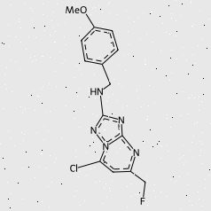 COc1ccc(CNc2nc3nc(CF)cc(Cl)n3n2)cc1